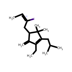 C=C1C(CC)=C(CC(C)C)C(C)(C)C1C/C(I)=C\C